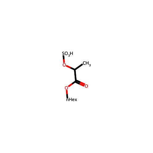 CCCCCCOC(=O)C(C)OS(=O)(=O)O